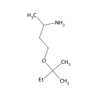 CCC(C)(C)OCCC(C)N